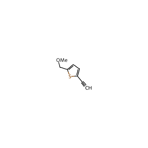 C#Cc1ccc(COC)s1